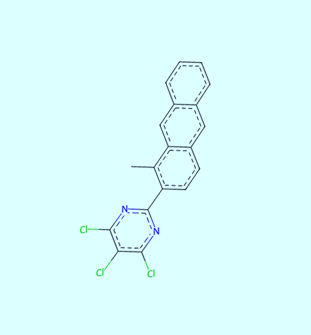 Cc1c(-c2nc(Cl)c(Cl)c(Cl)n2)ccc2cc3ccccc3cc12